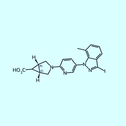 Cc1cccc2c(I)nn(-c3ccc(N4C[C@@H]5C(C(=O)O)[C@@H]5C4)nc3)c12